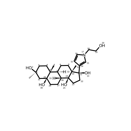 C[C@]1(O)CC[C@]2(C)[C@H]3CC[C@]4(C)[C@](O)(c5ccn(CCO)c5)CC[C@]4(O)[C@@H]3CC[C@]2(O)C1